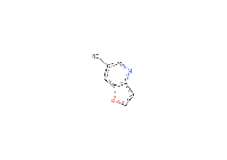 N#Cc1cnc2ccoc2c1